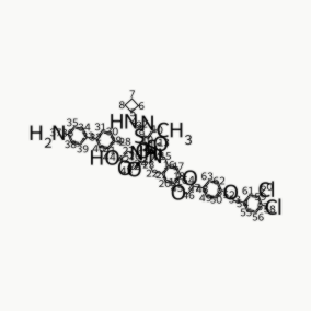 Cc1nc(NC2CCC2)sc1S(=O)(=O)N1Cc2cc3c(cc2C[C@H]1C(=O)N[C@@H](Cc1ccc(-c2ccc(N)cc2)cc1)C(=O)O)OCC(c1ccc(OCc2ccc(Cl)c(Cl)c2)cc1)O3